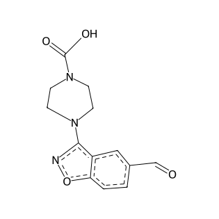 O=Cc1ccc2onc(N3CCN(C(=O)O)CC3)c2c1